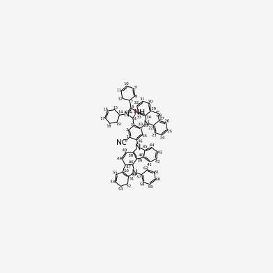 N#Cc1cc(C2NC(C3C=CC=CC3)=[N+]2C2CC=CCC2)c(N2c3ccccc3Sc3ccccc32)cc1-n1c2c(c3ccccc31)C1C(C=C2)C2=C(CCC=C2)N1c1ccccc1